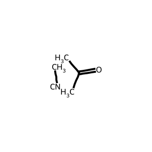 CC#N.CC(C)=O